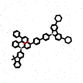 CC1(C)c2ccccc2-c2ccc(N(c3ccc(-c4ccc(-c5ccc(-n6c7ccc(C8CCCCC8)cc7c7cc(C8CCCCC8)ccc76)cc5)cc4)cc3)c3ccccc3-c3ccccc3-c3ccccc3)cc21